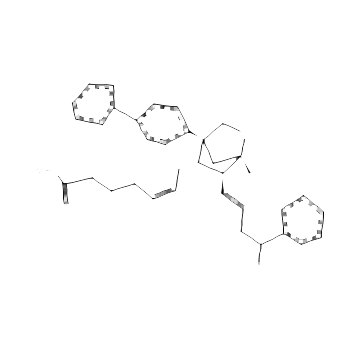 COC(=O)CCC/C=C\C[C@H]1[C@H](/C=C/[C@@H](O)C(C)c2ccccc2)[C@@H]2C[C@@]1(c1ccc(-c3ccccc3)cc1)CO2